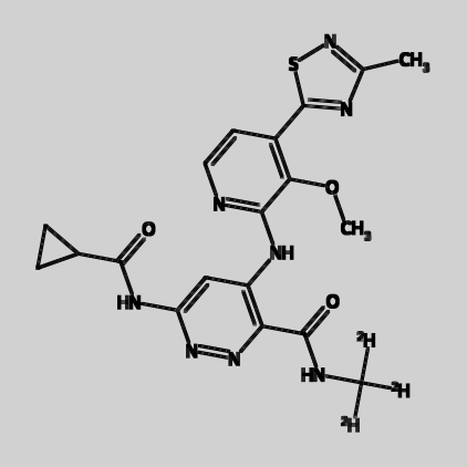 [2H]C([2H])([2H])NC(=O)c1nnc(NC(=O)C2CC2)cc1Nc1nccc(-c2nc(C)ns2)c1OC